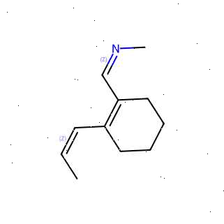 C/C=C\C1=C(/C=N\C)CCCC1